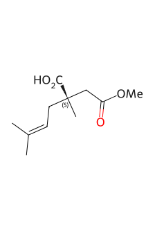 COC(=O)C[C@](C)(CC=C(C)C)C(=O)O